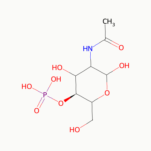 CC(=O)NC1C(O)OC(CO)[C@@H](OP(=O)(O)O)C1O